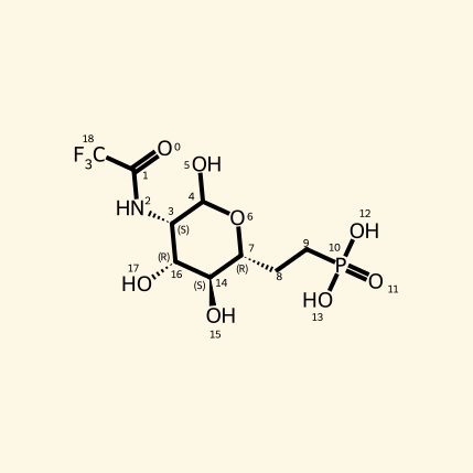 O=C(N[C@@H]1C(O)O[C@H](CCP(=O)(O)O)[C@@H](O)[C@@H]1O)C(F)(F)F